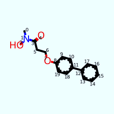 CN(O)C(=O)CCOc1ccc(-c2ccccc2)cc1